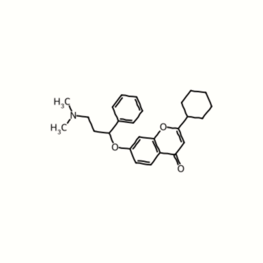 CN(C)CCC(Oc1ccc2c(=O)cc(C3CCCCC3)oc2c1)c1ccccc1